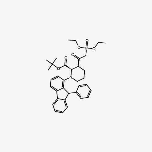 CCOP(=O)(CC(=O)[C@H]1CCCN(c2cccc3c2C(c2ccccc2)c2ccccc2-3)[C@H]1C(=O)OC(C)(C)C)OCC